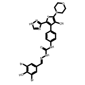 N#Cc1c(N2CCOCC2)sc(-c2nc[nH]n2)c1-c1ccc(NC(=O)N/N=C/c2cc(Br)c(O)c(Br)c2)cc1